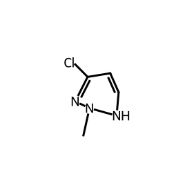 CN1N=C(Cl)C=CN1